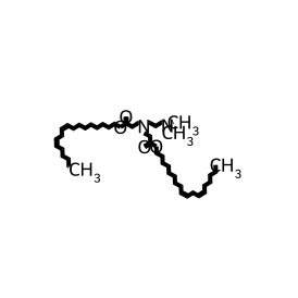 CCCCC/C=C\C/C=C\CCCCCCCCOC(=O)CCN(CCCN(C)C)CCC(=O)OCCCCCCCC/C=C\C/C=C\CCCCC